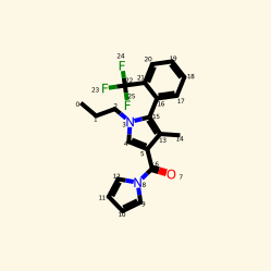 CCCn1cc(C(=O)n2cccc2)c(C)c1-c1ccccc1C(F)(F)F